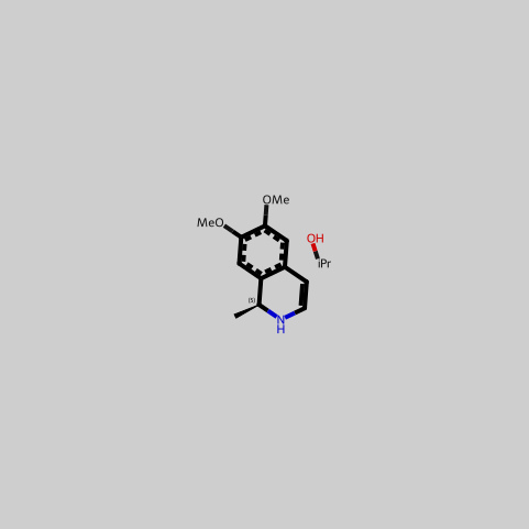 CC(C)O.COc1cc2c(cc1OC)[C@H](C)NC=C2